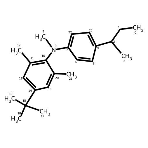 CCC(C)c1ccc(N(C)c2c(C)cc(C(C)(C)C)cc2C)cc1